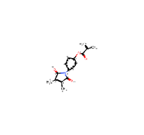 C=C(C)C(=O)Oc1ccc(N2C(=O)C(C)=C(C)C2=O)cc1